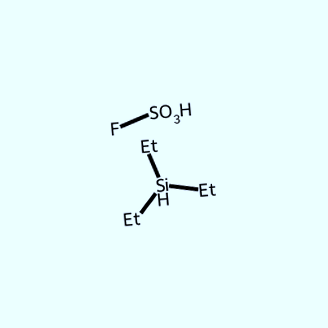 CC[SiH](CC)CC.O=S(=O)(O)F